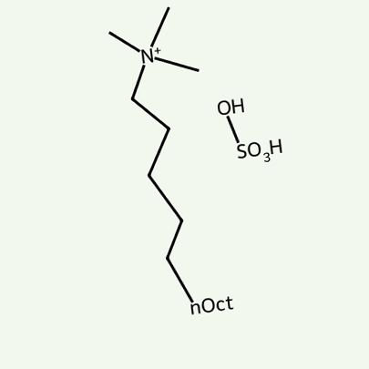 CCCCCCCCCCCCC[N+](C)(C)C.O=S(=O)(O)O